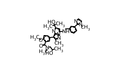 COc1ccc(-c2c(C)nn3c(NCc4cccc(-c5nccn5C)c4)cc(C(C)(C)O)nc23)cc1C(=O)N(C)CC(C)O